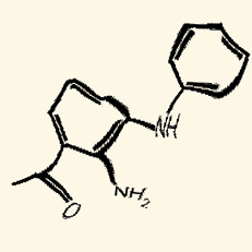 CC(=O)c1cccc(Nc2ccccc2)c1N